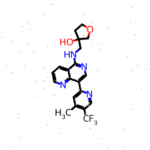 Cc1cc(-c2cnc(NCC3(O)CCOC3)c3cccnc23)ncc1C(F)(F)F